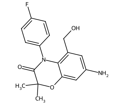 CC1(C)Oc2cc(N)cc(CO)c2N(c2ccc(F)cc2)C1=O